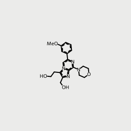 COc1cccc(-c2cn3c(CCO)c(CO)nc3c(N3CCOCC3)n2)c1